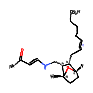 CCCC(=O)C=CNC[C@@H]1[C@H](C/C=C\CCCC(=O)O)[C@@H]2CC[C@H]1O2